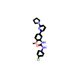 COc1ccc(-c2cccc(N3CCCC3)n2)cc1NC(=O)Nc1ccc(Cl)cc1